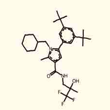 Cc1c(C(=O)NCC(C)(O)C(F)(F)F)cc(-c2cc(C(C)(C)C)cc(C(C)(C)C)c2)n1CC1CCCCC1